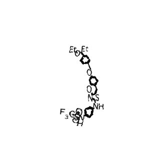 CCOC(CC)c1ccc(COc2ccc(C=C3SC(Nc4ccc(NS(=O)(=O)C(F)(F)F)cc4)=NC3=O)cc2)cc1